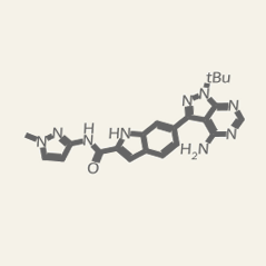 Cn1ccc(NC(=O)C2=CC3C=CC(c4nn(C(C)(C)C)c5ncnc(N)c45)=CC3N2)n1